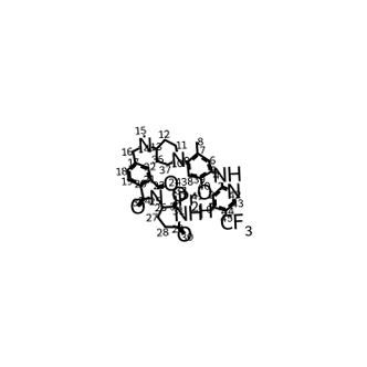 [2H]c1cc(Nc2cc(C)c(N3CCC(N(C)Cc4ccc5c(c4)C(=O)N(C4CCC(=O)NC4=O)C5=O)CC3)cc2OC(C)C)ncc1C(F)(F)F